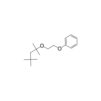 CC(C)(C)CC(C)(C)OCCOc1ccccc1